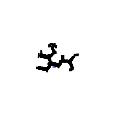 COC(=N)/C(C=O)=C\NC(F)F